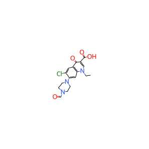 CCn1cc(C(=O)O)c(=O)c2cc(Cl)c(N3CCN(C=O)CC3)cc21